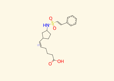 O=C(O)CCC/C=C\C1CCC(NS(=O)(=O)C=Cc2ccccc2)C1